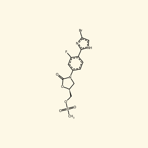 CS(=O)(=O)OC[C@@H]1CN(c2ccc(-c3nc(Br)c[nH]3)c(F)c2)C(=O)O1